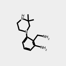 CC1(C)CN(c2cccc(N)c2CN)CCN1